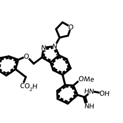 COc1c(C(=N)NO)cccc1-c1ccc2c(c1)c(COc1ccccc1CC(=O)O)nn2C1CCOC1